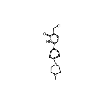 CN1CCN(c2ccc(-c3ccc(CCl)c(=O)[nH]3)cc2)CC1